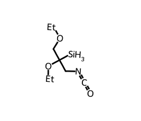 CCOCC([SiH3])(CN=C=O)OCC